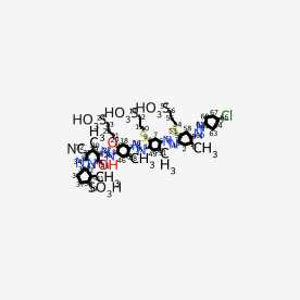 Cc1cc(N=Nc2cc(SCCCS(=O)(=O)O)c(N=Nc3cc(OCCCS(=O)(=O)O)c(N=Nc4c(C)c(C#N)c5nc6ccc(S(=O)(=O)O)c(C)c6n5c4O)cc3C)cc2C)c(SCCCS(=O)(=O)O)cc1N=Nc1ccc(Cl)cc1